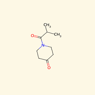 CC(C)C(=O)N1CCC(=O)CC1